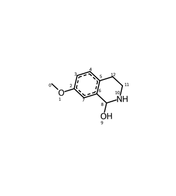 COc1ccc2c(c1)C(O)NCC2